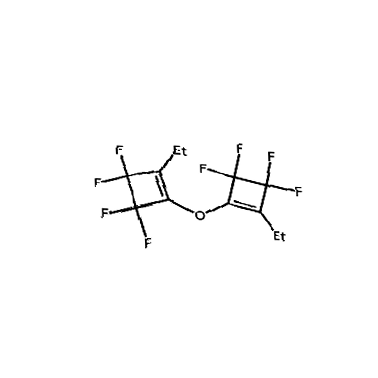 CCC1=C(OC2=C(CC)C(F)(F)C2(F)F)C(F)(F)C1(F)F